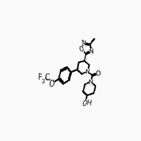 Cc1noc(C2CC(c3ccc(OC(F)(F)F)cc3)CN(C(=O)N3CCC(O)CC3)C2)n1